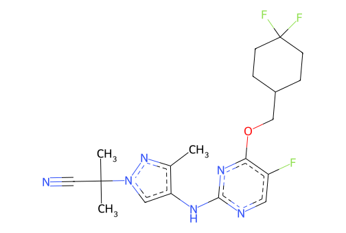 Cc1nn(C(C)(C)C#N)cc1Nc1ncc(F)c(OCC2CCC(F)(F)CC2)n1